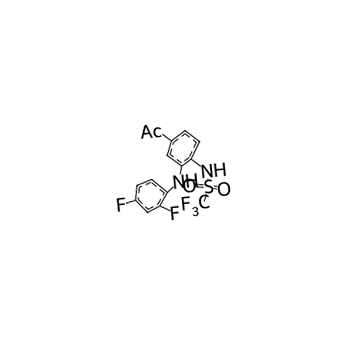 CC(=O)c1ccc(NS(=O)(=O)C(F)(F)F)c(Nc2ccc(F)cc2F)c1